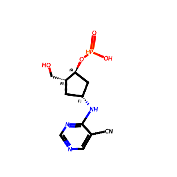 N#Cc1cncnc1N[C@@H]1C[C@H](CO)[C@@H](O[PH](=O)O)C1